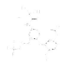 CCc1ccc(CC(=O)O)cc1Oc1ccc(NC(=O)C(C)(C)C)cc1CSCC(F)(F)F